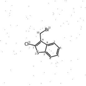 Clc1sc2ccccc2c1CBr